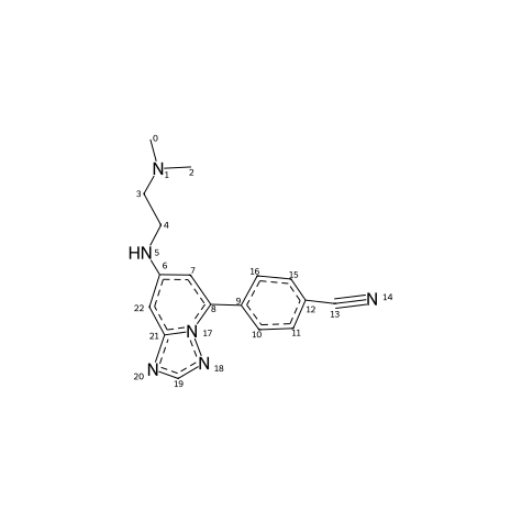 CN(C)CCNc1cc(-c2ccc(C#N)cc2)n2ncnc2c1